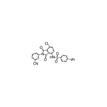 CC(C)c1ccc(S(=O)(=O)Nc2ccc(Cl)c3c2C(=O)N(c2cccc(C#N)c2)C3=O)cc1